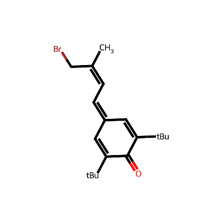 CC(=CC=C1C=C(C(C)(C)C)C(=O)C(C(C)(C)C)=C1)CBr